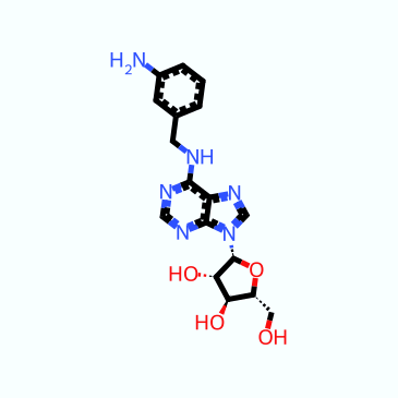 Nc1cccc(CNc2ncnc3c2ncn3[C@@H]2O[C@H](CO)[C@@H](O)[C@@H]2O)c1